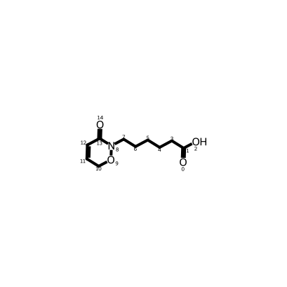 O=C(O)CCCCCN1OCC=CC1=O